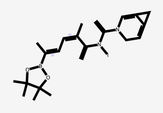 C=C(/C(C)=C\C=C(/C)B1OC(C)(C)C(C)(C)O1)N(I)C(=C)N1C=C2CC2=CC1